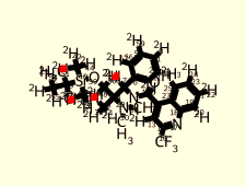 [2H]c1c([2H])c([2H])c(C([2H])(NC(=O)c2c([2H])c(C(F)(F)F)nc3c([2H])c([2H])c([2H])c([2H])c23)C(N(C)C)(C([2H])([2H])[2H])C([2H])([2H])O[Si](C([2H])([2H])[2H])(C([2H])([2H])[2H])C(C)(C)C([2H])([2H])[2H])c([2H])c1[2H]